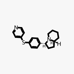 c1cc(Sc2ccc([C@H]3CC[C@H]4CCCCN43)cc2)ccn1